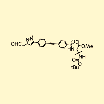 COC(=O)[C@@H](NC(=O)c1ccc(C#Cc2ccc(-c3cc(CC=O)nn3C)cc2)cc1)C(C)(C)NC(=O)OC(C)(C)C